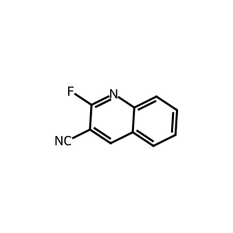 N#Cc1cc2ccccc2nc1F